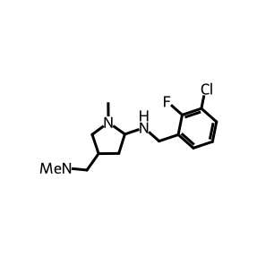 CNCC1CC(NCc2cccc(Cl)c2F)N(C)C1